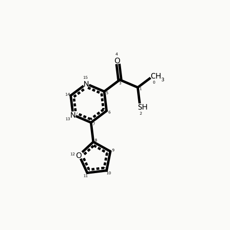 CC(S)C(=O)c1cc(-c2ccco2)ncn1